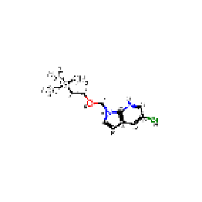 C[Si](C)(C)CCOCn1ccc2cc(Br)cnc21